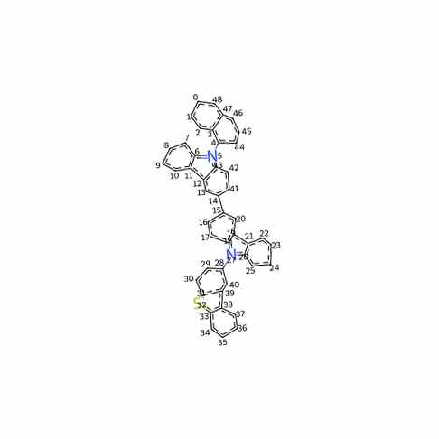 c1ccc2c(-n3c4ccccc4c4cc(-c5ccc6c(c5)c5ccccc5n6-c5ccc6sc7ccccc7c6c5)ccc43)cccc2c1